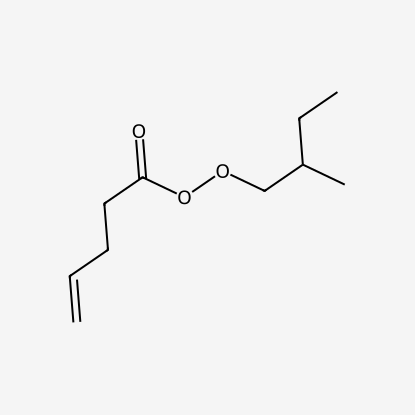 C=CCCC(=O)OOCC(C)CC